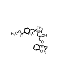 COC(=O)c1ccc(CC(C)(C)NC[C@@H](O)CO[C@@H](c2ccccc2C)C2CC2)cc1